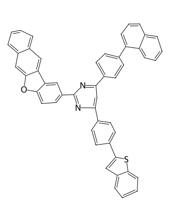 c1ccc2cc3c(cc2c1)oc1ccc(-c2nc(-c4ccc(-c5cc6ccccc6s5)cc4)cc(-c4ccc(-c5cccc6ccccc56)cc4)n2)cc13